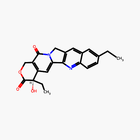 CCc1ccc2nc3c(cc2c1)Cn1c-3cc2c(c1=O)COC(=O)[C@]2(O)CC